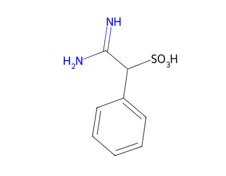 N=C(N)C(c1ccccc1)S(=O)(=O)O